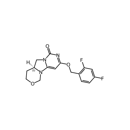 O=c1nc(OCc2ccc(F)cc2F)cc2n1C[C@@H]1CCOCN21